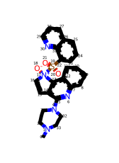 CN1CCN(c2nc3ccccc3c3c2C=C[N+]3([O-])S(=O)(=O)c2cccc3cccnc23)CC1